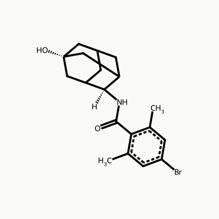 Cc1cc(Br)cc(C)c1C(=O)N[C@H]1C2CC3CC1C[C@](O)(C3)C2